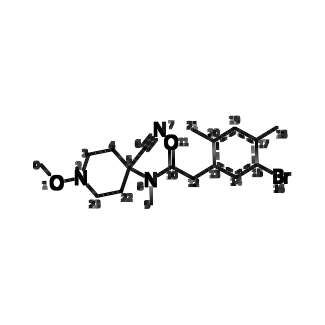 CON1CCC(C#N)(N(C)C(=O)Cc2cc(Br)c(C)cc2C)CC1